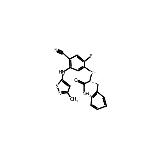 Cc1cc(Nc2cc(N[C@H](Cc3ccccc3)C(N)=O)c(F)cc2C#N)sn1